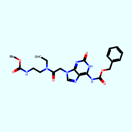 CC(C)(C)OC(=O)NCCN(CC=O)C(=O)Cn1cnc2c(NC(=O)OCc3ccccc3)[nH]c(=O)nc21